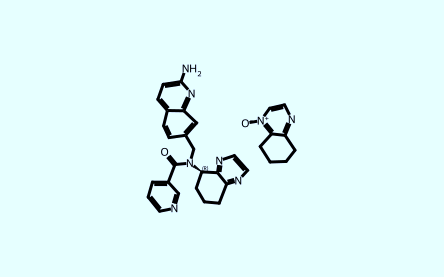 Nc1ccc2ccc(CN(C(=O)c3cccnc3)[C@@H]3CCCc4nccnc43)cc2n1.[O-][n+]1ccnc2c1CCCC2